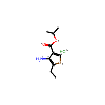 CCc1scc(C(=O)OC(C)C)c1N.Cl